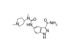 CN1CCC(N(C)C(=O)Nc2ccc3[nH]nc(C(N)=O)c3c2)CC1